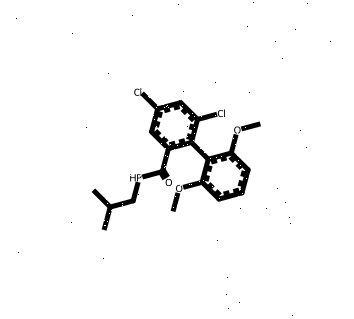 COc1cccc(OC)c1-c1c(Cl)cc(Cl)cc1C(=O)PCC(C)C